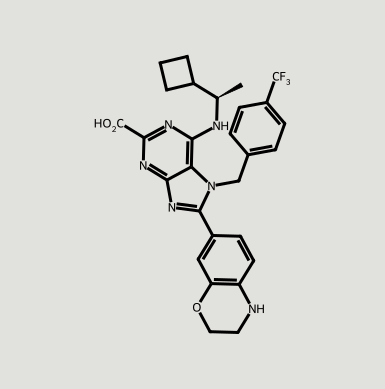 C[C@@H](Nc1nc(C(=O)O)nc2nc(-c3ccc4c(c3)OCCN4)n(Cc3ccc(C(F)(F)F)cc3)c12)C1CCC1